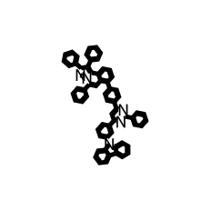 c1ccc(-c2nc(-c3ccc(-c4cccc5c4cc(-c4ccccc4)n4nc(-c6ccccc6)c(-c6ccccc6)c54)cc3)cc(-c3cccc(-n4c5ccccc5c5ccccc54)c3)n2)cc1